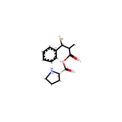 CC(C(=O)OC(=O)[C@@H]1CCCN1)C(S)c1ccccc1